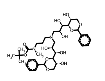 CN(CCCN(C[C@H](O)[C@@H](O)[C@@H]1OC(c2ccccc2)OC[C@H]1O)C[C@H](O)[C@@H](O)[C@@H]1OC(c2ccccc2)OC[C@H]1O)C(=O)OC(C)(C)C